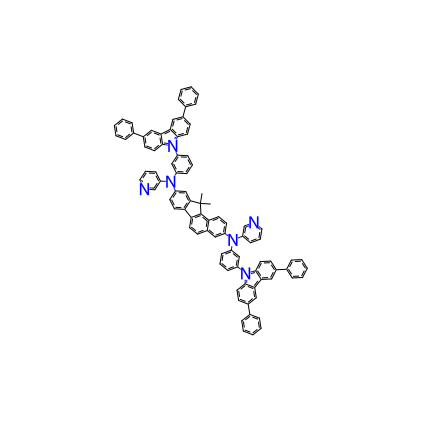 CC1(C)c2cc(N(c3cccnc3)c3cccc(-n4c5ccc(-c6ccccc6)cc5c5cc(-c6ccccc6)ccc54)c3)ccc2-c2ccc3cc(N(c4cccnc4)c4cccc(-n5c6ccc(-c7ccccc7)cc6c6cc(-c7ccccc7)ccc65)c4)ccc3c21